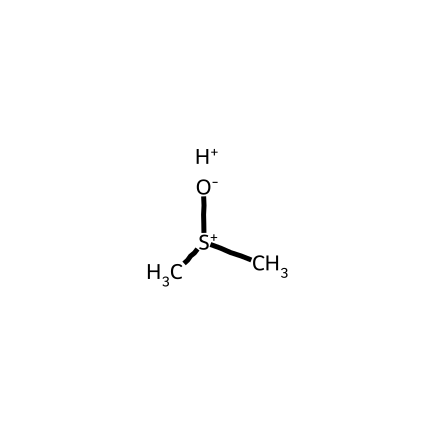 C[S+](C)[O-].[H+]